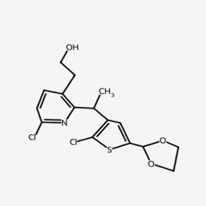 CC(c1cc(C2OCCO2)sc1Cl)c1nc(Cl)ccc1CCO